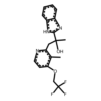 Cc1c(OCC(F)(F)F)ccnc1CC(C)(O)c1nc2ccccc2[nH]1